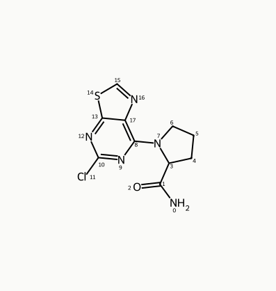 NC(=O)C1CCCN1c1nc(Cl)nc2scnc12